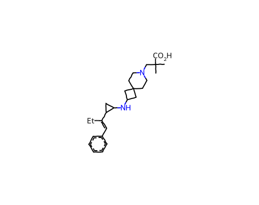 CCC(=Cc1ccccc1)C1CC1NC1CC2(CCN(CC(C)(C)C(=O)O)CC2)C1